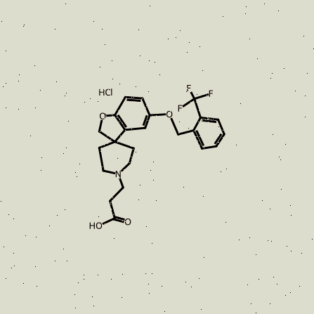 Cl.O=C(O)CCN1CCC2(CC1)COc1ccc(OCc3ccccc3C(F)(F)F)cc12